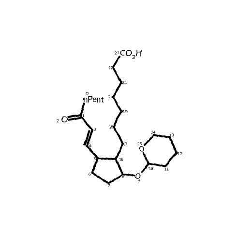 CCCCCC(=O)C=CC1CCC(OC2CCCCO2)C1CCCCCCC(=O)O